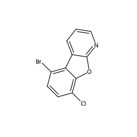 Clc1ccc(Br)c2c1oc1ncccc12